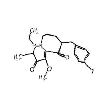 CCN1C(C)C(=O)C(OC)=C2C(=O)C(Cc3ccc(F)cc3)CCN21